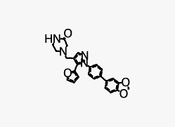 O=C1CN(Cc2cnn(-c3ccc(-c4ccc5c(c4)OCO5)cc3)c2-c2ccco2)CCN1